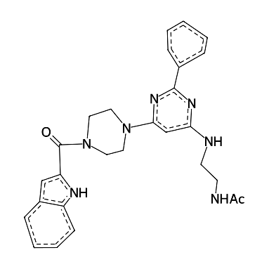 CC(=O)NCCNc1cc(N2CCN(C(=O)c3cc4ccccc4[nH]3)CC2)nc(-c2ccccc2)n1